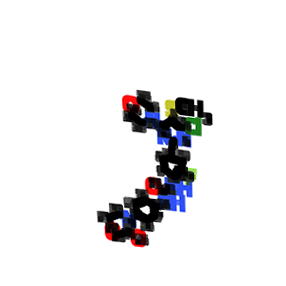 CSc1c(Cl)nc(-c2ccc(NC(=O)Nc3ccc(N4CCOCC4=O)cc3)c(F)c2)nc1N1CCOCC1